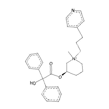 C[N+]1(CCCc2ccncc2)CCC[C@@H](OC(=O)C(O)(c2ccccc2)c2ccccc2)C1